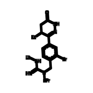 CCCN(Cc1ccc(C2=NNC(=O)CC2CC)cc1Br)C(=N)NCC